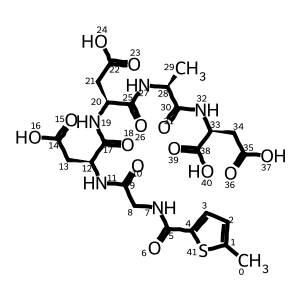 Cc1ccc(C(=O)NCC(=O)N[C@@H](CC(=O)O)C(=O)N[C@@H](CC(=O)O)C(=O)N[C@@H](C)C(=O)N[C@@H](CC(=O)O)C(=O)O)s1